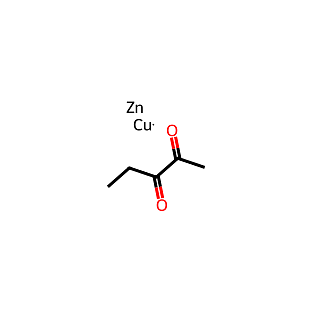 CCC(=O)C(C)=O.[Cu].[Zn]